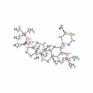 C=C(O[Si](C)(C)C)[C@H]1CC[C@H]2[C@@H]3CC[C@H]4C[C@H](O[Si](C)(C)C)[C@H](N5CCO[C@H](C(C)C)C5)C[C@]4(C)[C@H]3CC[C@]12C